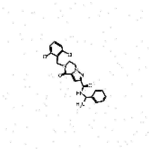 CC(NC(=O)c1cc2n(n1)CCN(Cc1c(Cl)cccc1Cl)C2=O)c1ccccc1